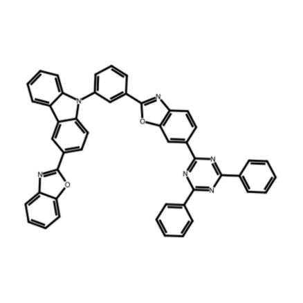 c1ccc(-c2nc(-c3ccccc3)nc(-c3ccc4nc(-c5cccc(-n6c7ccccc7c7cc(-c8nc9ccccc9o8)ccc76)c5)oc4c3)n2)cc1